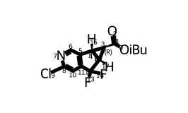 CC(C)COC(=O)[C@@H]1[C@H]2c3cnc(Cl)cc3C(F)(F)[C@@H]12